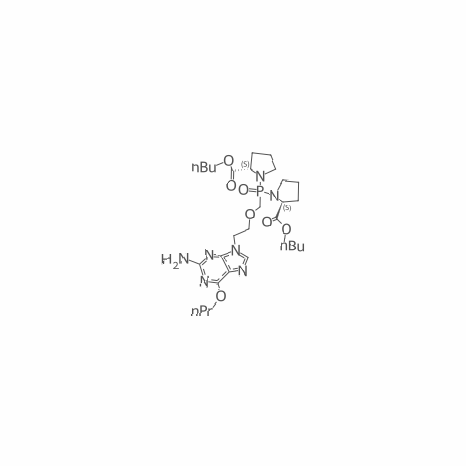 CCCCOC(=O)[C@@H]1CCCN1P(=O)(COCCn1cnc2c(OCCC)nc(N)nc21)N1CCC[C@H]1C(=O)OCCCC